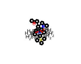 Bc1c(B)c(B)c(-c2cc(S(c3ccccc3)(c3ccccc3)c3ccccc3)cc(-c3c(B)c(B)c(B)c(B)c3B)c2-n2c3ccccc3c3cc(-n4c5ccccc5c5cccc(-c6ccccc6-c6cccc7c6oc6ccccc67)c54)ccc32)c(B)c1B